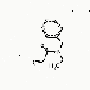 C=CC(=O)N(CC)Cc1ccccc1